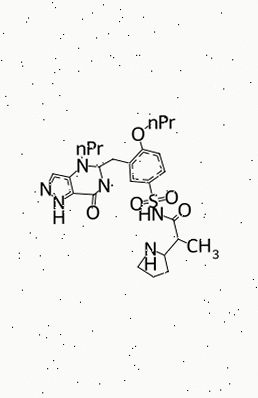 CCCOc1ccc(S(=O)(=O)NC(=O)C(C)C2CCCN2)cc1CC1[N]C(=O)c2[nH]ncc2N1CCC